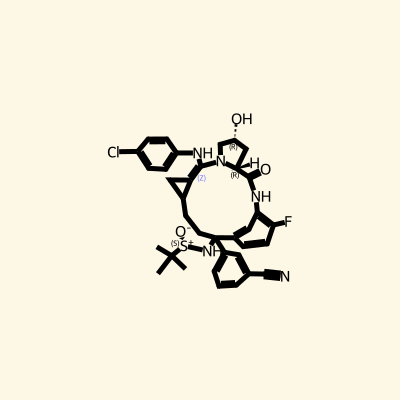 CC(C)(C)[S@@+]([O-])NC1(c2cccc(C#N)c2)CCC2C/C2=C(\Nc2ccc(Cl)cc2)N2C[C@H](O)C[C@@H]2C(=O)Nc2cc1ccc2F